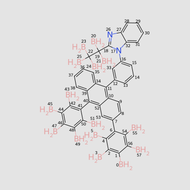 Bc1c(B)c(B)c(-c2ccc3c(-c4cccc(-n5c(C(B)(B)C(B)(B)B)nc6ccccc65)c4)c4ccccc4c(-c4c(B)c(B)c(B)c(B)c4B)c3c2)c(B)c1B